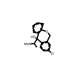 CNC(C)C1(O)c2ccc(Cl)cc2COc2ccccc21